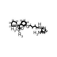 CC1(C)Oc2c(OCCCCNc3nsnc3N)cccc2C1N1CCCCC1